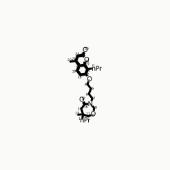 CCCc1c(OCCCCN2COCC(C)(CCC)CC2=O)ccc2c(C)cc(=O)oc12